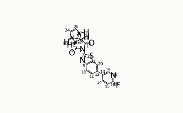 O=C1[C@@H]2[C@H](C(=O)N1c1nc3ccc(-c4ccc(F)nc4)cc3s1)[C@@H]1C=C[C@H]2C1